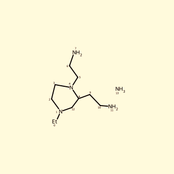 CCN1CCN(CCN)C(CCN)C1.N